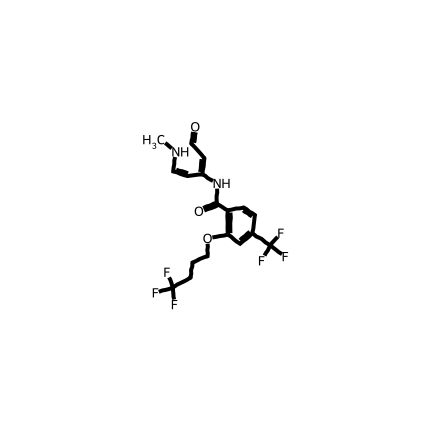 CN/C=C\C(=C/C=O)NC(=O)c1ccc(C(F)(F)F)cc1OCCCC(F)(F)F